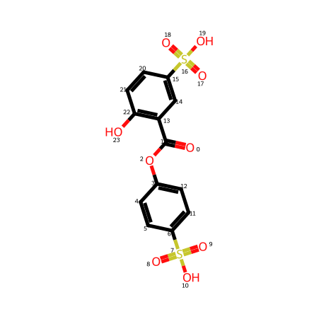 O=C(Oc1ccc(S(=O)(=O)O)cc1)c1cc(S(=O)(=O)O)ccc1O